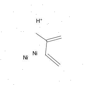 C=CC(=C)C.[H+].[Ni].[Ni]